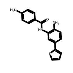 Nc1ccc(C(=O)Nc2cc(-c3cccs3)ccc2N)cc1